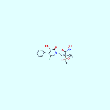 C[C@@](CCn1cc(F)c(-c2ccccc2)c(O)c1=O)(C(=O)NO)S(C)(=O)=O